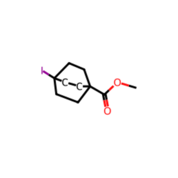 COC(=O)C12CCC(I)(CC1)CC2